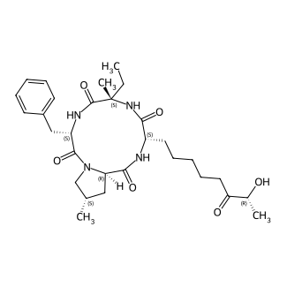 CC[C@]1(C)NC(=O)[C@H](CCCCCC(=O)[C@@H](C)O)NC(=O)[C@H]2C[C@H](C)CN2C(=O)[C@H](Cc2ccccc2)NC1=O